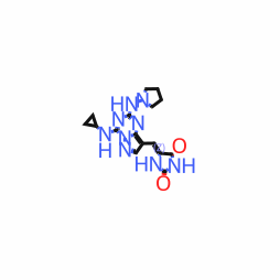 O=C1NC(=O)/C(=C/c2cnn3c(NC4CC4)nc(NN4CCCC4)nc23)N1